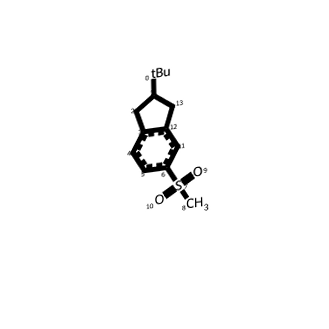 CC(C)(C)C1Cc2ccc(S(C)(=O)=O)cc2C1